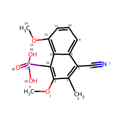 COc1c(C)c(C#N)c2cccc(OC)c2c1P(=O)(O)O